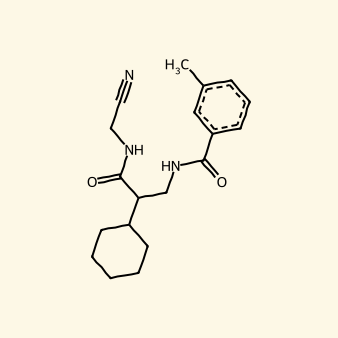 Cc1cccc(C(=O)NCC(C(=O)NCC#N)C2CCCCC2)c1